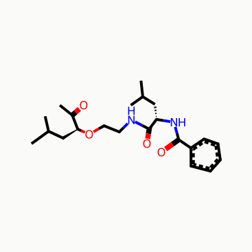 CC(=O)[C@H](CC(C)C)OCCNC(=O)[C@H](CC(C)C)NC(=O)c1ccccc1